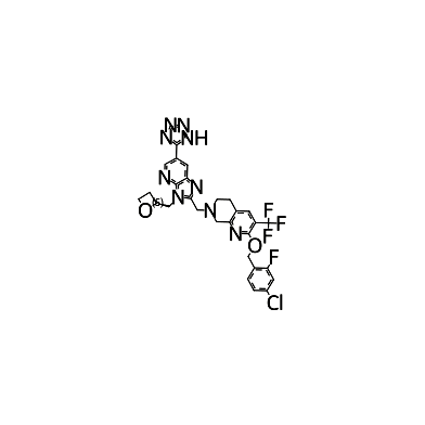 Fc1cc(Cl)ccc1COc1nc2c(cc1C(F)(F)F)CCN(Cc1nc3cc(-c4nnn[nH]4)cnc3n1C[C@@H]1CCO1)C2